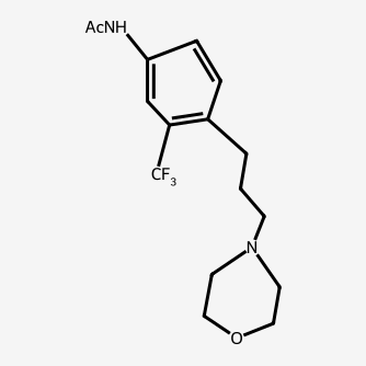 CC(=O)Nc1ccc(CCCN2CCOCC2)c(C(F)(F)F)c1